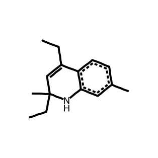 CCC1=CC(C)(CC)Nc2cc(C)ccc21